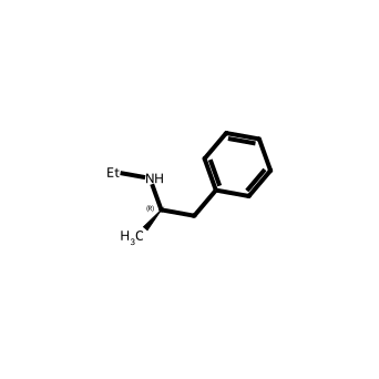 CCN[C@H](C)Cc1ccccc1